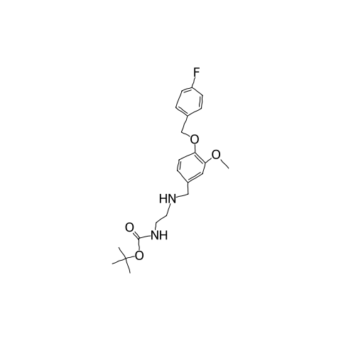 COc1cc(CNCCNC(=O)OC(C)(C)C)ccc1OCc1ccc(F)cc1